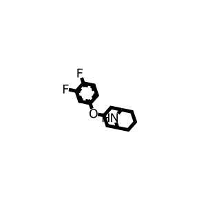 Fc1ccc(OC2CC3CCCC(C2)N3)cc1F